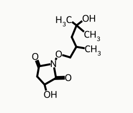 CC(CON1C(=O)CC(O)C1=O)CC(C)(C)O